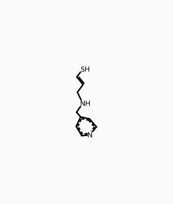 SC=CCNCc1ccncc1